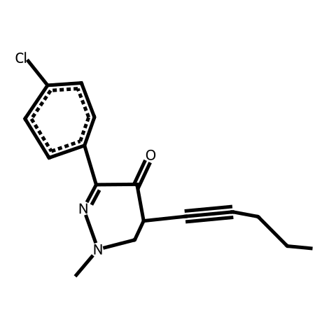 CCCC#CC1CN(C)N=C(c2ccc(Cl)cc2)C1=O